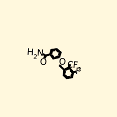 NC(=O)c1cccc(OCc2cccc(F)c2C(F)(F)F)c1